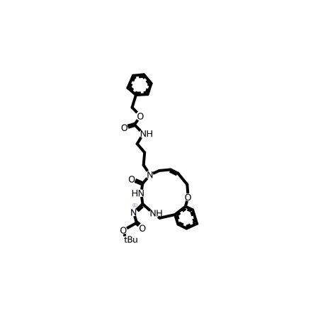 CC(C)(C)OC(=O)/N=C1\NCc2ccccc2OCC=CCN(CCCNC(=O)OCc2ccccc2)C(=O)N1